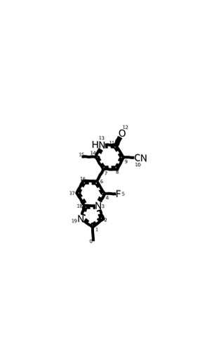 Cc1cn2c(F)c(-c3cc(C#N)c(=O)[nH]c3C)ccc2n1